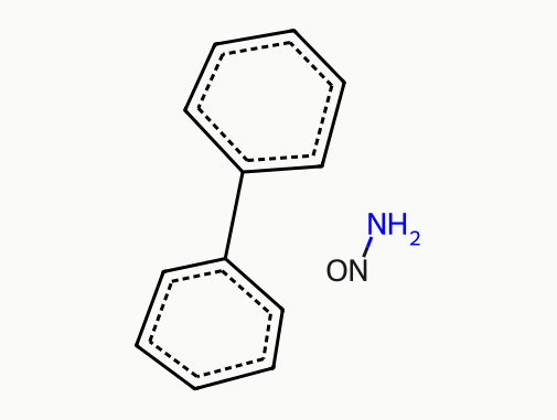 NN=O.c1ccc(-c2ccccc2)cc1